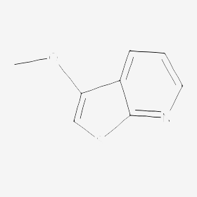 COc1csc2ncccc12